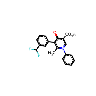 Cc1c(-c2cccc(C(F)F)c2)c(=O)c(C(=O)O)cn1-c1ccccc1